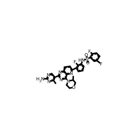 Cc1nc(N)ncc1-c1nc(N2CCOCC2C)c2nc(-c3cccc(NS(=O)(=O)c4cc(F)ccc4F)c3F)ccc2n1